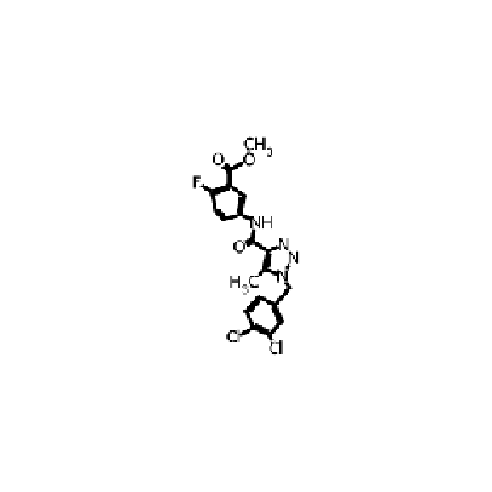 COC(=O)c1cc(NC(=O)c2nnn(Cc3ccc(Cl)c(Cl)c3)c2C)ccc1F